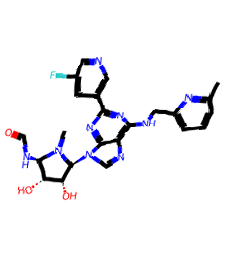 Cc1cccc(CNc2nc(-c3cncc(F)c3)nc3c2ncn3[C@H]2[C@H](O)[C@H](O)[C@@H](NC=O)N2C)n1